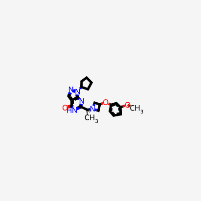 COc1cccc(OC2CN([C@H](C)c3nc4c(cnn4C4CCCC4)c(=O)[nH]3)C2)c1